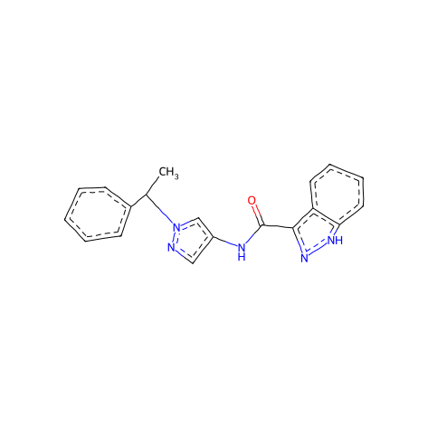 CC(c1ccccc1)n1cc(NC(=O)c2n[nH]c3ccccc23)cn1